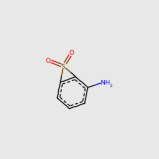 Nc1cccc2c1S2(=O)=O